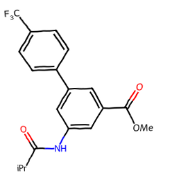 COC(=O)c1cc(NC(=O)C(C)C)cc(-c2ccc(C(F)(F)F)cc2)c1